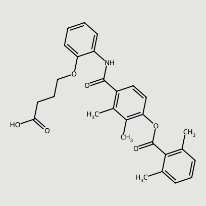 Cc1cccc(C)c1C(=O)Oc1ccc(C(=O)Nc2ccccc2OCCCC(=O)O)c(C)c1C